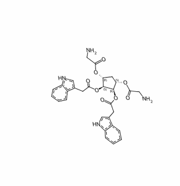 NCC(=O)O[C@H]1C[C@@H](OC(=O)CN)[C@H](OC(=O)Cc2c[nH]c3ccccc23)[C@@H]1OC(=O)Cc1c[nH]c2ccccc12